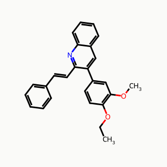 CCOc1ccc(-c2cc3ccccc3nc2C=Cc2ccccc2)cc1OC